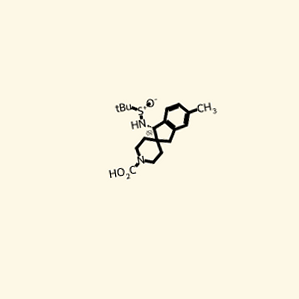 Cc1ccc2c(c1)CC1(CCN(C(=O)O)CC1)[C@@H]2N[S+]([O-])C(C)(C)C